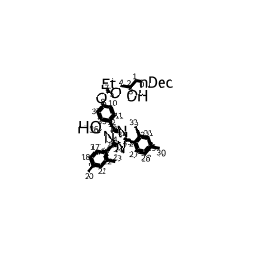 CCCCCCCCCCCC(O)COC(CC)Oc1ccc(-c2nc(-c3ccc(C)cc3C)nc(-c3ccc(C)cc3C)n2)c(O)c1